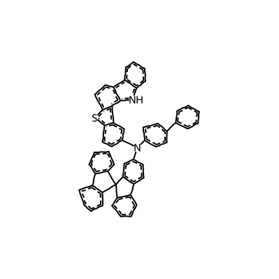 c1ccc(-c2ccc(N(c3ccc4c(c3)C3(c5ccccc5-c5ccccc53)c3ccccc3-4)c3ccc4sc5ccc6c7ccccc7[nH]c6c5c4c3)cc2)cc1